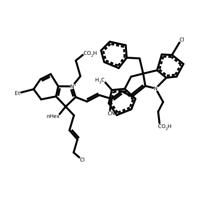 CCCCCCC1(C/C=C/CCl)C2=C(C=CC(CC)C2)[N+](CCC(=O)O)=C1/C=C/C(C#N)=C/C=C1/N(CCC(=O)O)c2ccc(Cl)cc2C1(Cc1ccccc1)Cc1ccccc1C